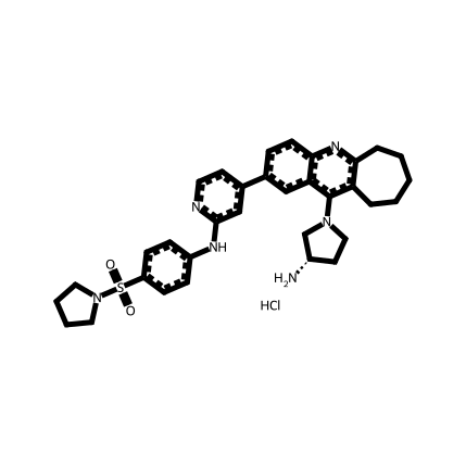 Cl.N[C@H]1CCN(c2c3c(nc4ccc(-c5ccnc(Nc6ccc(S(=O)(=O)N7CCCC7)cc6)c5)cc24)CCCCC3)C1